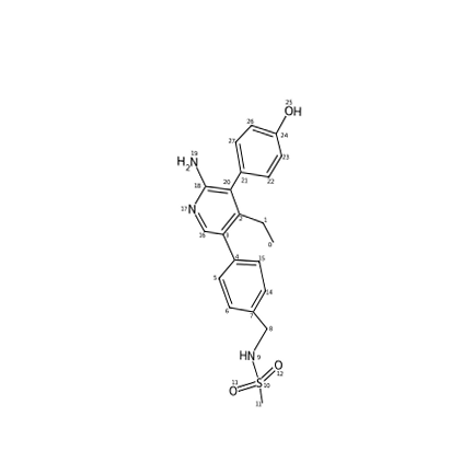 CCc1c(-c2ccc(CNS(C)(=O)=O)cc2)cnc(N)c1-c1ccc(O)cc1